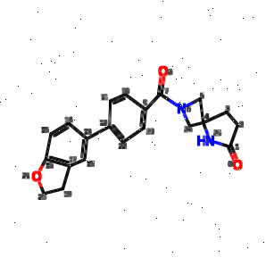 O=C1CCC2(CN(C(=O)c3ccc(-c4ccc5c(c4)CCO5)cc3)C2)N1